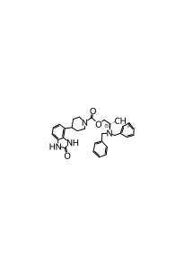 C[C@@H](COC(=O)N1CCC(c2cccc3[nH]c(=O)[nH]c23)CC1)N(Cc1ccccc1)Cc1ccccc1